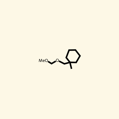 COCOCC1(C)CCCCC1